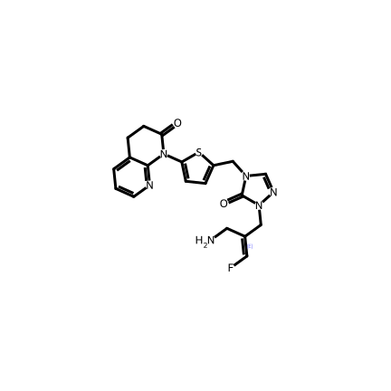 NC/C(=C\F)Cn1ncn(Cc2ccc(N3C(=O)CCc4cccnc43)s2)c1=O